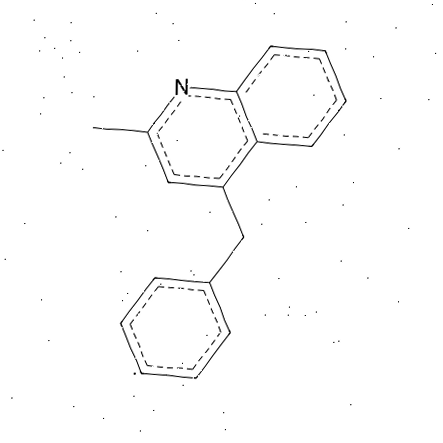 Cc1cc(Cc2cc[c]cc2)c2ccccc2n1